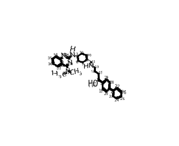 CN(C)c1nc(N[C@H]2CC[C@@H](CNCCCC(O)c3ccc(-c4ccccc4)cc3)CC2)nc2ccccc12